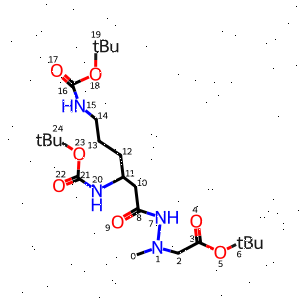 CN(CC(=O)OC(C)(C)C)NC(=O)CC(CCCNC(=O)OC(C)(C)C)NC(=O)OC(C)(C)C